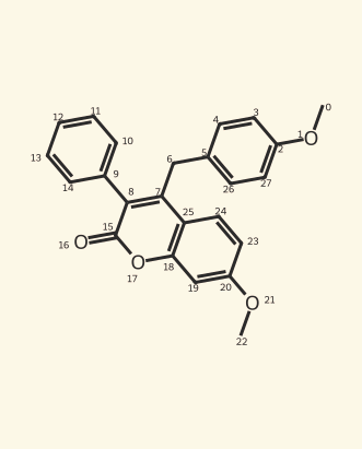 COc1ccc(Cc2c(-c3ccccc3)c(=O)oc3cc(OC)ccc23)cc1